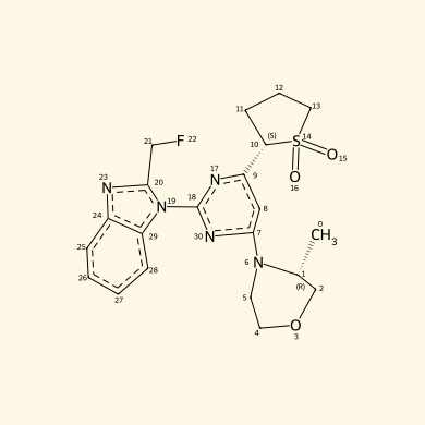 C[C@@H]1COCCN1c1cc([C@@H]2CCCS2(=O)=O)nc(-n2c(CF)nc3ccccc32)n1